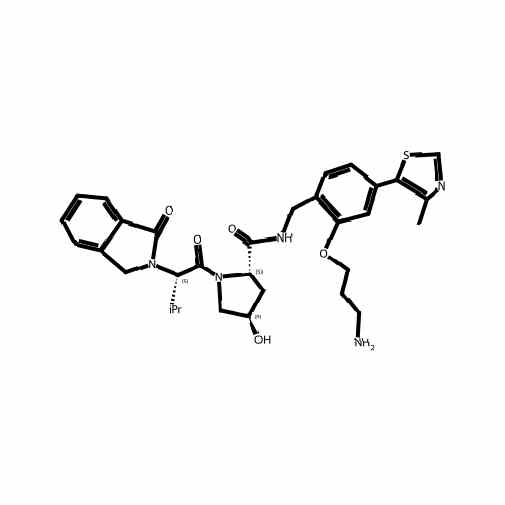 Cc1ncsc1-c1ccc(CNC(=O)[C@@H]2C[C@@H](O)CN2C(=O)[C@H](C(C)C)N2Cc3ccccc3C2=O)c(OCCCN)c1